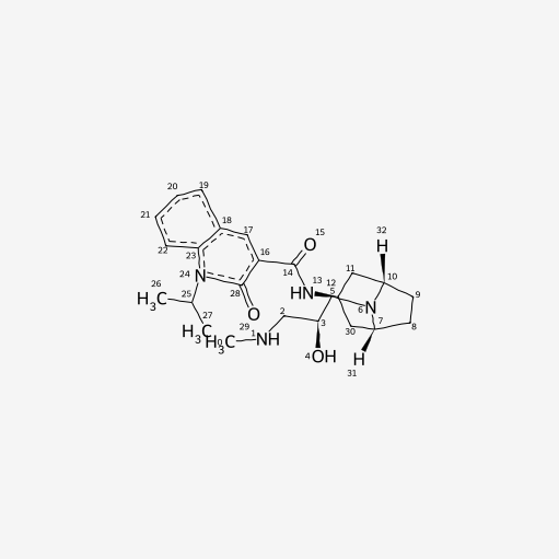 CNC[C@H](O)CN1[C@@H]2CC[C@H]1C[C@H](NC(=O)c1cc3ccccc3n(C(C)C)c1=O)C2